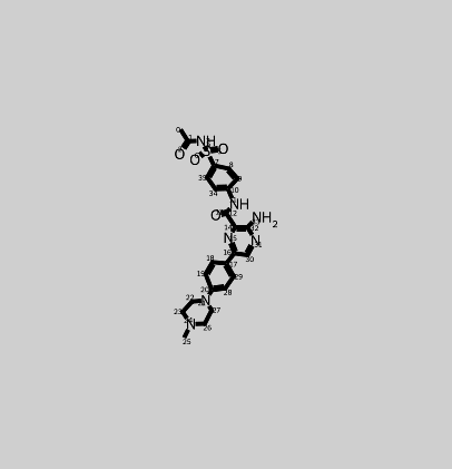 CC(=O)NS(=O)(=O)c1ccc(NC(=O)c2nc(-c3ccc(N4CCN(C)CC4)cc3)cnc2N)cc1